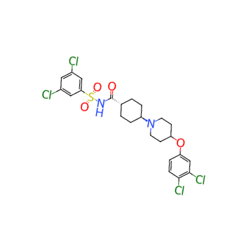 O=C(NS(=O)(=O)c1cc(Cl)cc(Cl)c1)[C@H]1CC[C@H](N2CCC(Oc3ccc(Cl)c(Cl)c3)CC2)CC1